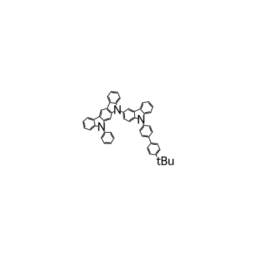 CC(C)(C)c1ccc(-c2ccc(-n3c4ccccc4c4cc(-n5c6ccccc6c6cc7c8ccccc8n(-c8ccccc8)c7cc65)ccc43)cc2)cc1